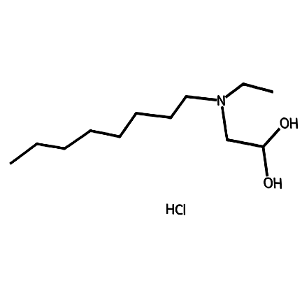 CCCCCCCCN(CC)CC(O)O.Cl